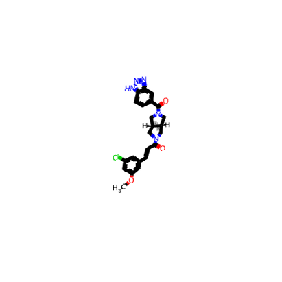 COc1cc(Cl)cc(C=CC(=O)N2C[C@@H]3CN(C(=O)c4ccc5[nH]nnc5c4)C[C@H]3C2)c1